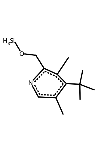 Cc1cnc(CO[SiH3])c(C)c1C(C)(C)C